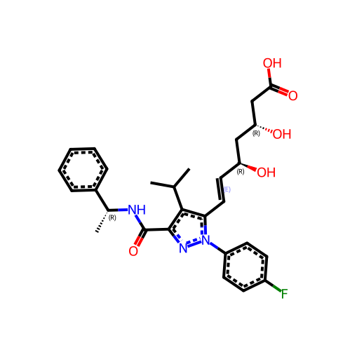 CC(C)c1c(C(=O)N[C@H](C)c2ccccc2)nn(-c2ccc(F)cc2)c1/C=C/[C@H](O)C[C@@H](O)CC(=O)O